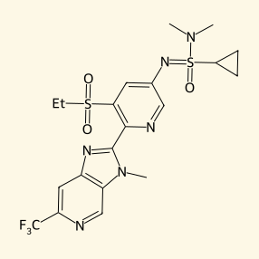 CCS(=O)(=O)c1cc(N=S(=O)(C2CC2)N(C)C)cnc1-c1nc2cc(C(F)(F)F)ncc2n1C